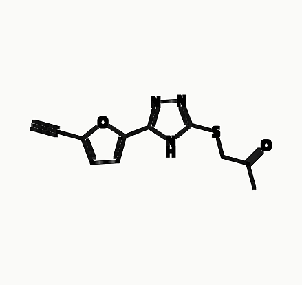 C#Cc1ccc(-c2nnc(SCC(C)=O)[nH]2)o1